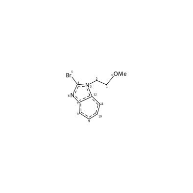 COCCn1c(Br)nc2ccccc21